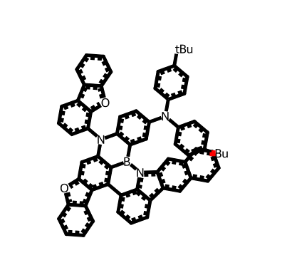 CC(C)(C)c1ccc(N(c2ccc(C(C)(C)C)cc2)c2ccc3c(c2)B2c4c(cc5oc6ccccc6c5c4-c4cccc5c6cc7ccccc7cc6n2c45)N3c2cccc3c2oc2ccccc23)cc1